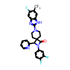 O=C1N(c2ccc(F)c(F)c2)C(c2ccccn2)C12CCN(c1nc3cc(F)c(C(F)(F)F)cc3[nH]1)CC2